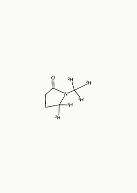 [2H]C([2H])([2H])N1C(=O)CCC1([2H])[2H]